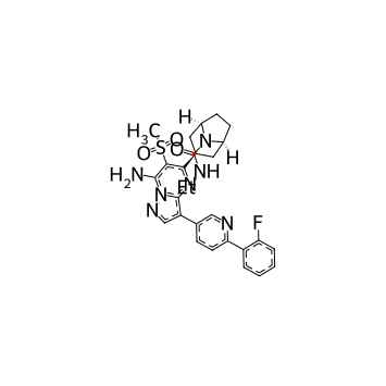 CCNC(=O)N1[C@@H]2CC[C@H]1C[C@@H](c1nc3c(-c4ccc(-c5ccccc5F)nc4)cnn3c(N)c1S(C)(=O)=O)C2